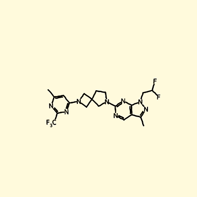 Cc1cc(N2CC3(CCN(c4ncc5c(C)nn(CC(F)F)c5n4)C3)C2)nc(C(F)(F)F)n1